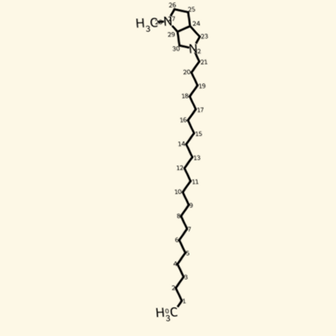 CCCCCCCCCCCCCCCCCCCCCCN1CC2CCN(C)C2C1